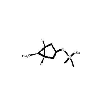 CC(C)(C)[Si](C)(C)OC1C[C@@H]2[C@H](C1)[C@H]2C(=O)O